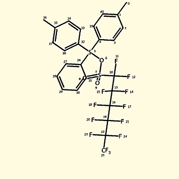 Cc1ccc(S(OS(=O)(=O)C(F)(F)C(F)(F)C(F)(F)C(F)(F)C(F)(F)C(F)(F)F)(c2ccccc2)c2ccc(C)cc2)cc1